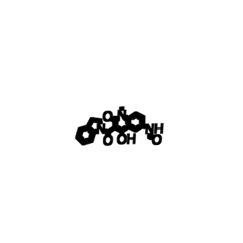 Cn1c(=O)c(C(=O)N2CCc3ccccc32)c(O)c2cc(NC=O)ccc21